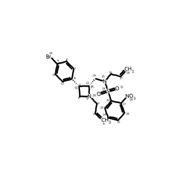 C=CCN1C[C@H](c2ccc(Br)cc2)[C@@H]1CN(CC=C)S(=O)(=O)c1ccccc1[N+](=O)[O-]